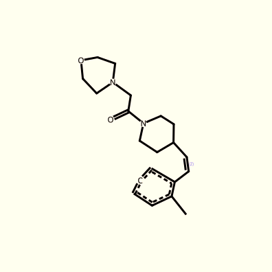 Cc1ccccc1/C=C\C1CCN(C(=O)CN2CCOCC2)CC1